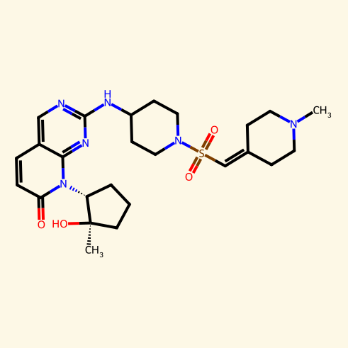 CN1CCC(=CS(=O)(=O)N2CCC(Nc3ncc4ccc(=O)n([C@@H]5CCC[C@@]5(C)O)c4n3)CC2)CC1